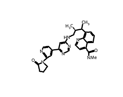 CNC(=O)c1ccnc2c(C(C)[C@H](C)CNc3cc(-c4ccnc(N5CCCC5=O)c4)ncn3)cccc12